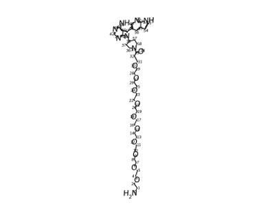 NCCOCCOCCOCCOCCOCCOCCOCCOCCOCCOCCC(=O)N1CCC(N2c3ncnc(N)c3C2c2cnc3[nH]ccc3c2)CC1